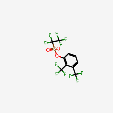 O=S(=O)(Oc1cccc(C(F)(F)F)c1C(F)(F)F)C(F)(F)C(F)(F)F